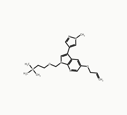 C=CCOc1cnc2c(c1)c(-c1cnn(C)c1)cn2COCC[Si](C)(C)C